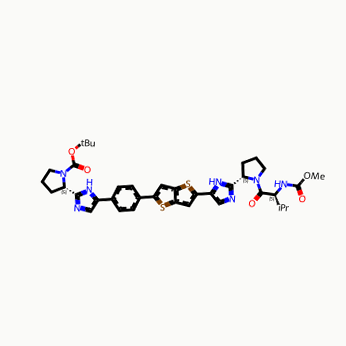 COC(=O)N[C@H](C(=O)N1CCC[C@H]1c1ncc(-c2cc3sc(-c4ccc(-c5cnc([C@@H]6CCCN6C(=O)OC(C)(C)C)[nH]5)cc4)cc3s2)[nH]1)C(C)C